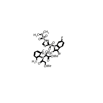 COCC(=O)N(c1c(C)cccc1C)C(C)C(=O)OC.Cc1c(Br)c2ccc(F)cc2n1S(=O)(=O)c1ncn(S(=O)(=O)N(C)C)n1